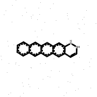 C1=Cc2cc3cc4cc5ccccc5cc4cc3cc2NN1